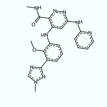 CNC(=O)c1nnc(Nc2ccccn2)cc1Nc1cccc(-c2ncn(C)n2)c1OC